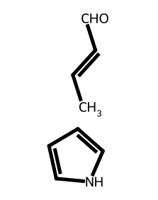 C/C=C/C=O.c1cc[nH]c1